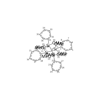 CO[Si](OC)(c1ccccc1)C([Si](OC)(OC)c1ccccc1)([Si](OC)(OC)c1ccccc1)[Si](OC)(OC)c1ccccc1